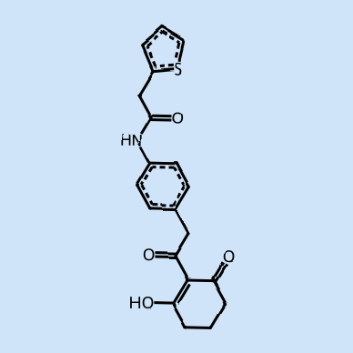 O=C(Cc1cccs1)Nc1ccc(CC(=O)C2=C(O)CCCC2=O)cc1